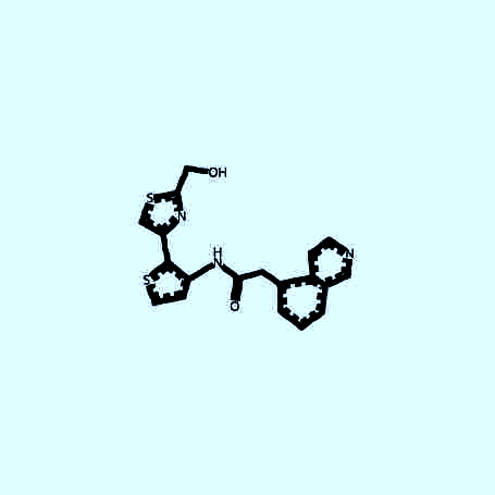 O=C(Cc1cccc2cnccc12)Nc1ccsc1-c1csc(CO)n1